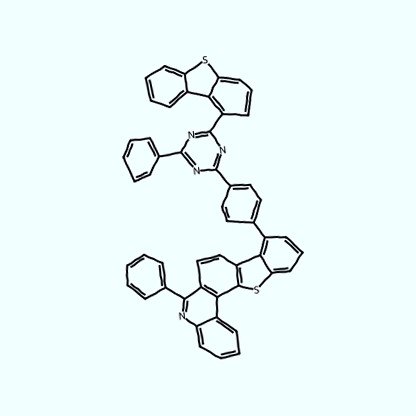 c1ccc(-c2nc(-c3ccc(-c4cccc5sc6c(ccc7c(-c8ccccc8)nc8ccccc8c76)c45)cc3)nc(-c3cccc4sc5ccccc5c34)n2)cc1